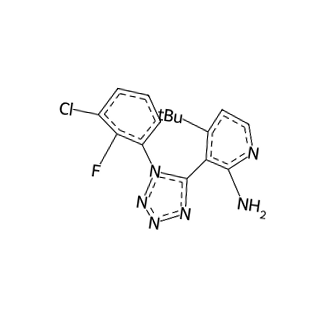 CC(C)(C)c1ccnc(N)c1-c1nnnn1-c1cccc(Cl)c1F